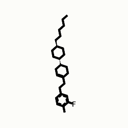 CCCCCC[C@H]1CC[C@H](C2CC=C(CCc3ccc(C)c(F)c3)CC2)CC1